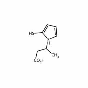 CC(CC(=O)O)[SH]1C=CC=C1S